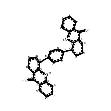 O=c1c2ccccc2oc2c(-c3ccc(-c4cccc5c(=O)c6ccccc6oc45)cc3)cccc12